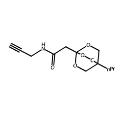 C#CCNC(=O)CC12OCC(CCC)(CO1)CO2